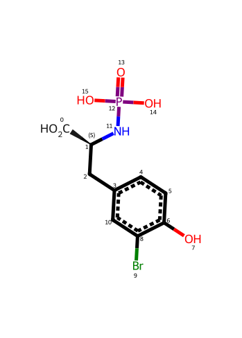 O=C(O)[C@H](Cc1ccc(O)c(Br)c1)NP(=O)(O)O